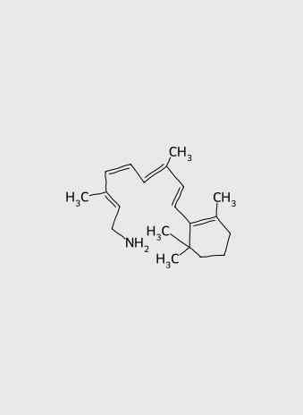 CC(C=CC1=C(C)CCCC1(C)C)=C/C=C\C(C)=CCN